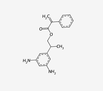 C=C(C(=O)OCC(C)c1cc(N)cc(N)c1)c1ccccc1